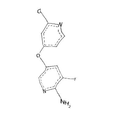 Nc1ncc(Oc2ccnc(Cl)c2)cc1F